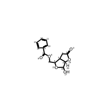 O=C1CC2C(COC(=O)c3ccccc3)OC(O)[C@@H]2O1